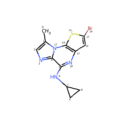 Cc1cnc2c(NC3CC3)nc3cc(Br)sc3n12